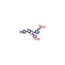 CN(C)c1ccc(-c2ccc(CN(C(=O)C3CCC(O)CC3)c3cnnc(/C=C/C(=O)O)c3)cn2)cc1